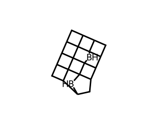 B1C2CC3C4C5CC6C7CC8C9C%10CC2C%102C13C41BC56C78C912